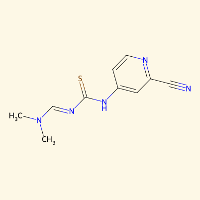 CN(C)/C=N/C(=S)Nc1ccnc(C#N)c1